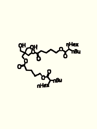 CCCCCCC(CCCC)C(=O)OCCCCC(=O)OCC(CO)(CO)COC(=O)CCCCOC(=O)C(CCCC)CCCCCC